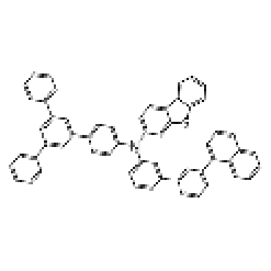 c1ccc(-c2cc(-c3ccccc3)cc(-c3ccc(N(c4cccc(-c5cccc(-c6cccc7ccccc67)c5)c4)c4ccc5c(c4)sc4ccccc45)cc3)c2)cc1